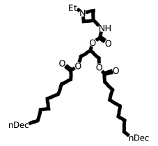 CCCCCCCCCCCCCCCCCC(=O)OCC(COC(=O)CCCCCCCCCCCCCCCCC)OC(=O)NC1CN(CC)C1